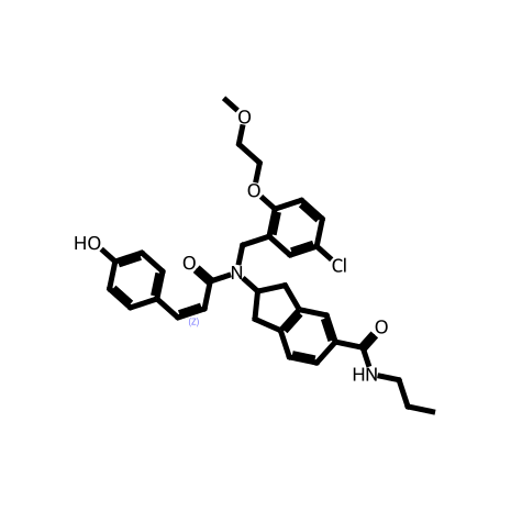 CCCNC(=O)c1ccc2c(c1)CC(N(Cc1cc(Cl)ccc1OCCOC)C(=O)/C=C\c1ccc(O)cc1)C2